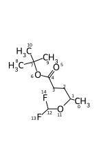 CC(CCC(=O)OC(C)(C)C)OC(F)F